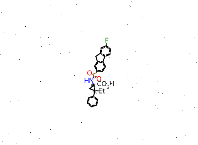 CC[C@@]1(c2ccccc2)C[C@]1(NS(=O)(=O)c1ccc2c(c1)Cc1cc(F)ccc1-2)C(=O)O